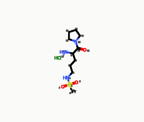 CC(C)S(=O)(=O)NCCCC(N)C(=O)N1CCCC1.Cl